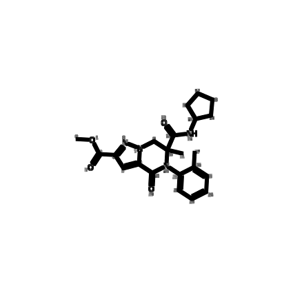 COC(=O)c1cc2n(n1)CC(C)(C(=O)NC1CCCC1)N(c1ccccc1C)C2=O